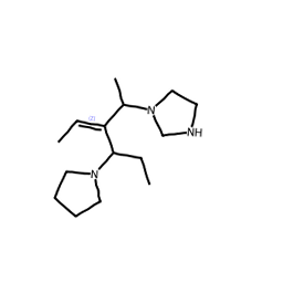 C/C=C(/C(C)N1CCNC1)C(CC)N1CCCC1